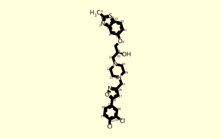 Cc1nc2cc(OC[C@@H](O)CN3CCN(Cc4cc(-c5ccc(Cl)c(Cl)c5)on4)CC3)ccc2s1